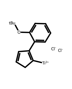 CC(C)(C)Oc1ccccc1C1=[C]([Ti+2])CC=C1.[Cl-].[Cl-]